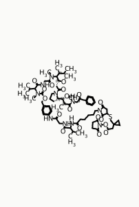 CC[C@H](C)C([C@@H](CC(=O)N1CCC[C@H]1[C@H](OC)[C@@H](C)C(=O)NCC(=O)c1ccccc1)OC)N(C)C(=O)CNC(=O)C(C(C)C)N(C)C(=O)OCc1ccc(NC(=O)CNC(=O)C(NC(=O)CCCCCN2C(=O)CC(SCC3(CC(=O)ON4C(=O)CCC4=O)CC3)C2=O)C(C)C)cc1